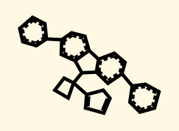 C1=CCC(C2(C3c4cc(-c5ccccc5)ccc4-c4ccc(-c5ccccc5)cc43)CCC2)=C1